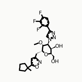 CO[C@@H]1[C@@H](n2cc(-c3ccc(F)c(F)c3F)nn2)[C@@H](O)[C@@H](CO)O[C@@H]1Cc1cc(C2(C)CCCC2)on1